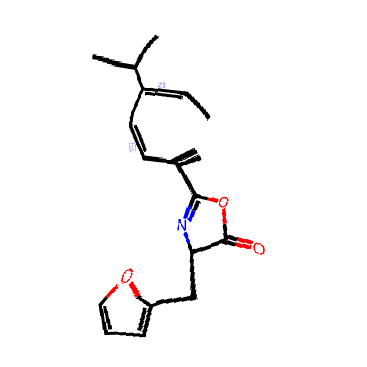 C=C(/C=C\C(=C/C)C(C)C)C1=NC(Cc2ccco2)C(=O)O1